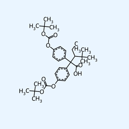 CCC(C(C)(C)C)C(C(=O)O)(c1ccc(OC(=O)OC(C)(C)C)cc1)c1ccc(OC(=O)OC(C)(C)C)cc1